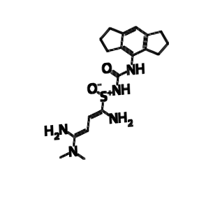 CN(C)/C(N)=C/C=C(\N)[S+]([O-])NC(=O)Nc1c2c(cc3c1CCC3)CCC2